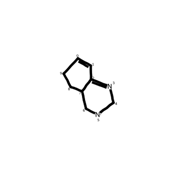 C1=CC2=NC[N]CC2CC1